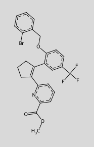 COC(=O)c1cccc(C2=C(c3cc(C(F)(F)F)ccc3OCc3ccccc3Br)CCC2)n1